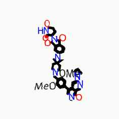 COc1cc(-c2cn(C)c(=O)c3cnc(N4CCC4)cc23)cc(OC)c1CN1CCC2(CC1)CN(c1ccc3c(c1)C(=O)N(C1CCC(=O)NC1=O)C3=O)C2